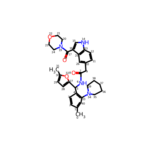 Cc1ccc(C(NC(=O)Cc2ccc3[nH]cc(C(=O)N4CCOCC4)c3c2)c2ccc(C)o2)c(N2CCCCC2)c1